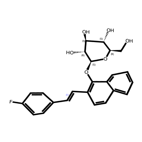 OC[C@H]1O[C@@H](Oc2c(/C=C/c3ccc(F)cc3)ccc3ccccc23)[C@H](O)[C@@H](O)[C@@H]1O